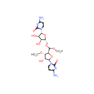 Nc1ccn([C@@H]2O[C@H](COC(OC(=O)O)[C@H]3O[C@@H](n4ccc(N)nc4=O)[C@H](O)[C@@H]3OC(=O)O)[C@@H](O)[C@H]2O)c(=O)n1